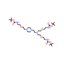 CC(C)(C)OC(=O)NCCOCCN(CCOCCNC(=O)OC(C)(C)C)CCN1CCN(CCOCCNC(=O)OC(C)(C)C)CC1